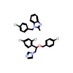 Cc1nc2ccccc2n1Cc1ccc(Cl)cc1.Clc1ccc(COC(Cn2ccnc2)c2ccc(Cl)cc2Cl)cc1